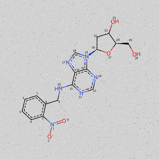 O=[N+]([O-])c1ccccc1CNc1ncnc2c1ncn2[C@H]1CC(O)[C@@H](CO)O1